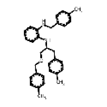 Cc1ccc(CNc2ccccc2NC(COCc2ccc(C)cc2)Cc2ccc(C)cc2)cc1